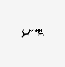 CC[NH][Zn][CH2]CC(C)C